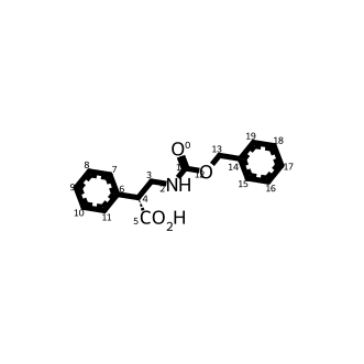 O=C(NC[C@H](C(=O)O)c1ccccc1)OCc1ccccc1